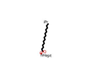 CCCCCCCOC(=O)CCCCCCCCCCCCCCC(C)C